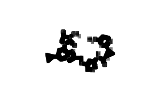 Cc1ccnc([C@H]2C[C@@H]2C(=O)Nc2cc(OCc3cn4cc(C5CC5)cc(N5CC(=O)N(C)C5=O)c4n3)cnn2)n1